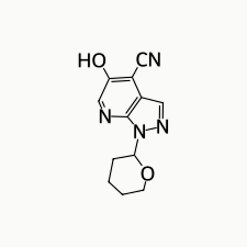 N#Cc1c(O)cnc2c1cnn2C1CCCCO1